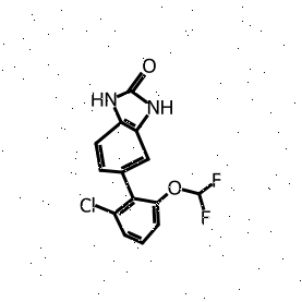 O=c1[nH]c2ccc(-c3c(Cl)cccc3OC(F)F)cc2[nH]1